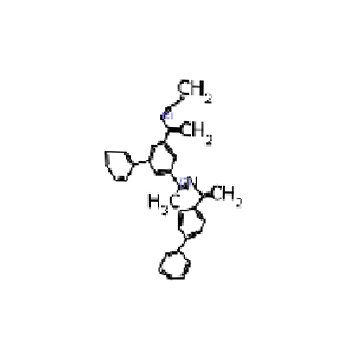 C=C/C=C\C(=C)c1cc(/C(C)=N/C(=C)c2ccc(-c3ccccc3)cc2)cc(-c2ccccc2)c1